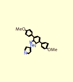 COc1ccc(-c2ccc(-c3ccc(OC)cc3)c3nn(-c4ccncc4)nc23)cc1